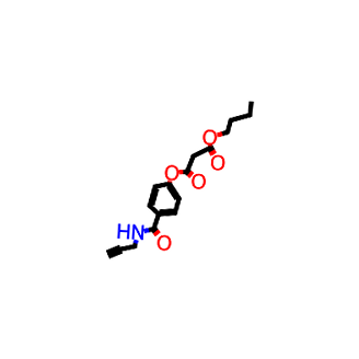 C#CCNC(=O)c1ccc(OC(=O)CC(=O)OCCCC)cc1